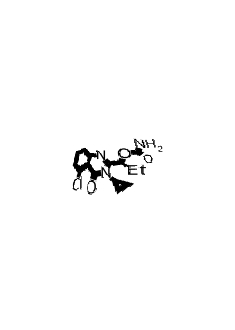 CC[C@H](OC(N)=O)c1nc2cccc(Cl)c2c(=O)n1C1CC1